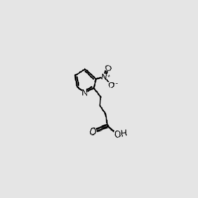 O=C(O)CCCc1ncccc1[N+](=O)[O-]